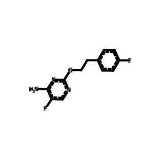 Nc1nc(OCCc2ccc(F)cc2)ncc1F